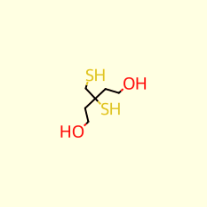 OCCC(S)(CS)CCO